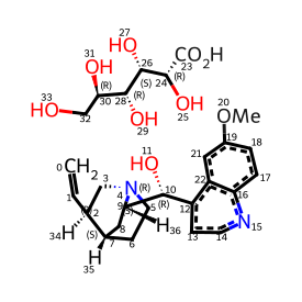 C=C[C@H]1C[N@]2CC[C@H]1C[C@H]2[C@H](O)c1ccnc2ccc(OC)cc12.O=C(O)[C@H](O)[C@@H](O)[C@H](O)[C@H](O)CO